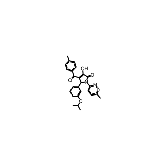 Cc1ccc(C(=O)C2=C(O)C(=O)N(c3ccc(C)nn3)C2C2=CCCC(OC(C)C)=C2)cc1